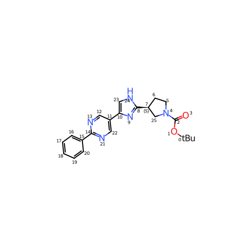 CC(C)(C)OC(=O)N1CC[C@H](c2nc(-c3cnc(-c4ccccc4)nc3)c[nH]2)C1